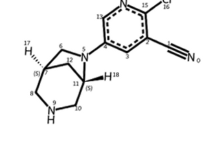 N#Cc1cc(N2C[C@@H]3CNC[C@@H]2C3)cnc1Cl